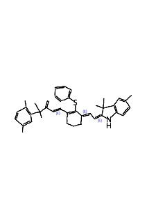 C=C(/C=C/C1=C(Sc2ccccc2)C(=C/C=C2/Nc3ccc(C)cc3C2(C)C)/CCC1)C(C)(C)c1cc(C)ccc1C